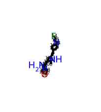 C=c1[nH]c(C#Cc2ccc(N(C)CCF)cc2)c/c1=C/C=C(\N)N1CCOCC1